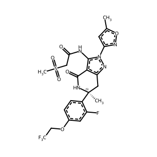 Cc1cc(-n2nc3c(c2NC(=O)CS(C)(=O)=O)C(=O)N[C@](C)(c2ccc(OCC(F)(F)F)cc2F)C3)no1